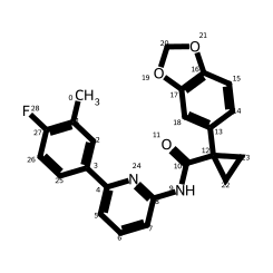 Cc1cc(-c2cccc(NC(=O)C3(c4ccc5c(c4)OCO5)CC3)n2)ccc1F